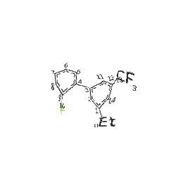 CCc1cc(-c2ccccc2F)cc(C(F)(F)F)c1